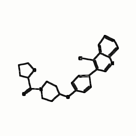 O=C(C1CCCO1)N1CCC(Oc2ccc(-c3cnc4ccccc4c3Cl)cc2)CC1